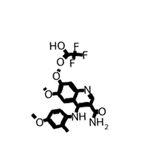 COc1ccc(Nc2c(C(N)=O)cnc3cc(OC)c(OC)cc23)c(C)c1.O=C(O)C(F)(F)F